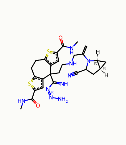 C=C(CNCCC1(C(=N)/N=N\N)c2cc(C(=O)NC)sc2CCc2sc(C(=O)NC)cc21)N1C(C#N)C[C@@H]2C[C@@H]21